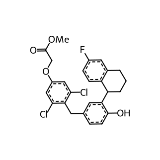 COC(=O)COc1cc(Cl)c(Cc2ccc(O)c(C3CCCc4cc(F)ccc43)c2)c(Cl)c1